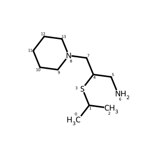 CC(C)SC(CN)CN1CCCCC1